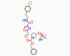 CC(C)C(C)(C)[Si](C)(C)OC1C[C@@H](C(=O)c2nc(C(=O)NCCc3ccc(Cl)cc3)co2)N(C(=O)OCc2ccccc2)C1